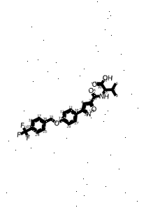 CC(C)C(NC(=O)c1cc(-c2ccc(OCc3ccc(C(F)(F)F)cc3)cc2)no1)C(=O)O